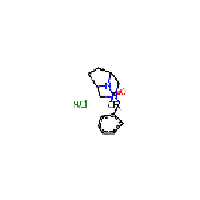 Cl.O=C(N1C2CCC1CN(Cc1ccccc1)C2)C(F)(F)F